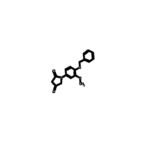 COc1cc(N2CC(=O)CC2=O)ccc1OCc1ccccc1